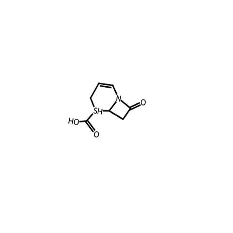 O=C1CC2N1C=CC[SH]2C(=O)O